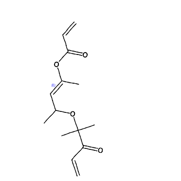 C=CC(=O)O/C(C)=C/C(C)OC(C)(C)C(=O)C=C